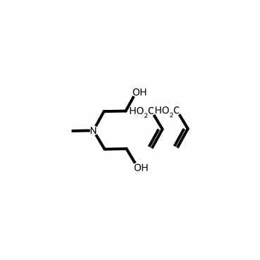 C=CC(=O)O.C=CC(=O)O.CN(CCO)CCO